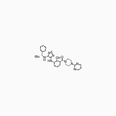 CC(C)(C)[C@@H](Nc1nsnc1Nc1cccc(C(=O)N2CCN(c3ncccn3)CC2)c1O)c1ccccc1